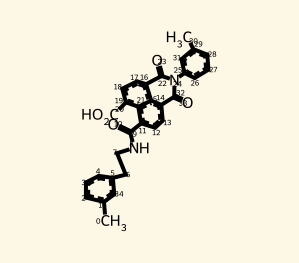 Cc1cccc(CCNC(=O)c2ccc3c4c(ccc(C(=O)O)c24)C(=O)N(c2cccc(C)c2)C3=O)c1